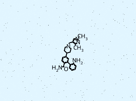 Cc1nn(C)cc1CN1CCC(c2ccc(C(N)=O)c(-c3ccccc3N)c2)CC1